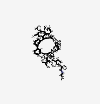 CO[C@@H](C)c1ncccc1-c1c2c3cc(ccc3n1C(C)C)-c1cccc(c1)C[C@H](NC(=O)C(C(C)C)N(C)C(=O)[C@H]1CCN(C(=O)/C=C/CF)C1)C(=O)N1CCC[C@H](N1)C(=O)OCC(C)(C)C2